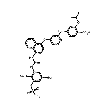 COc1c(NC(=O)Nc2ccc(Oc3ccnc(Nc4ccc(C(=O)O)c(OC(F)F)c4)c3)c3ccccc23)cc(C(C)(C)C)cc1NS(C)(=O)=O